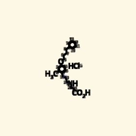 Cc1cc(OCCCCc2ccccc2)ccc1/C=C/CNCCC(=O)O.Cl